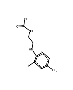 CC(C)C(=O)NCCNc1ncc(C(F)(F)F)cc1Cl